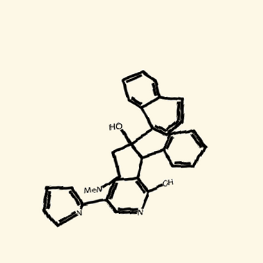 CNCCC(O)(C1=C=C=Cc2ccccc21)C(c1ccccc1)c1cc(-c2ccccn2)cnc1O